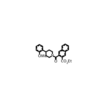 CCOC(=O)c1cc2ccccc2cc1C(=O)N1CCC(c2ccccc2OC)CC1